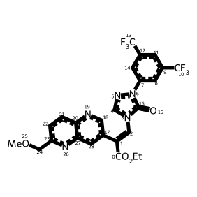 CCOC(=O)/C(=C/n1cnn(-c2cc(C(F)(F)F)cc(C(F)(F)F)c2)c1=O)c1cnc2ccc(COC)nc2c1